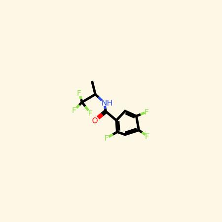 CC(NC(=O)c1cc(F)c(F)cc1F)C(F)(F)F